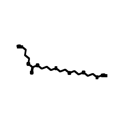 CC(C)(C)CCCOC(=O)OCCCSCCOCCOCCSC(C)(C)C